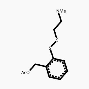 CNCCSSc1ccccc1COC(C)=O